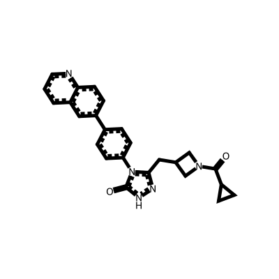 O=C(C1CC1)N1CC(Cc2n[nH]c(=O)n2-c2ccc(-c3ccc4ncccc4c3)cc2)C1